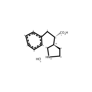 Cl.O=C(O)[C@@H](Cc1ccccc1)[C@H]1CCNC1